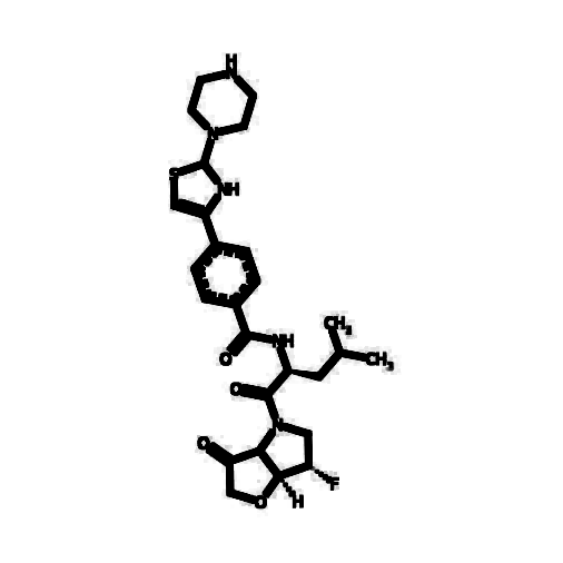 CC(C)C[C@H](NC(=O)c1ccc(C2=CSC(N3CCNCC3)N2)cc1)C(=O)N1C[C@H](F)[C@H]2OCC(=O)C21